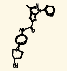 Cc1nn(-c2ccccc2)c2sc(C(=O)Nc3ccc(N4CCC(O)CC4)cc3)cc12